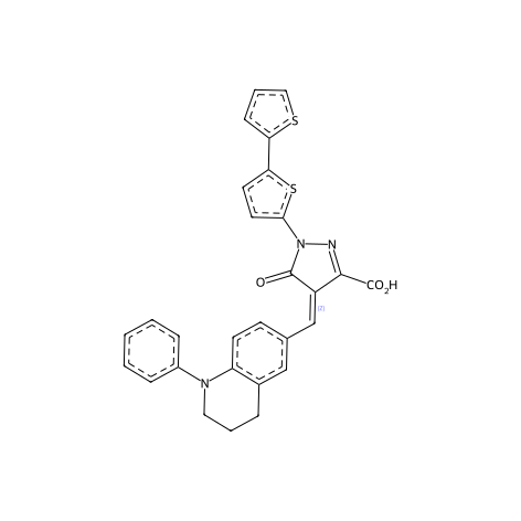 O=C(O)C1=NN(c2ccc(-c3cccs3)s2)C(=O)/C1=C\c1ccc2c(c1)CCCN2c1ccccc1